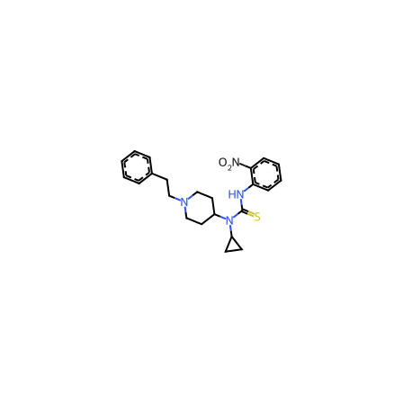 O=[N+]([O-])c1ccccc1NC(=S)N(C1CC1)C1CCN(CCc2ccccc2)CC1